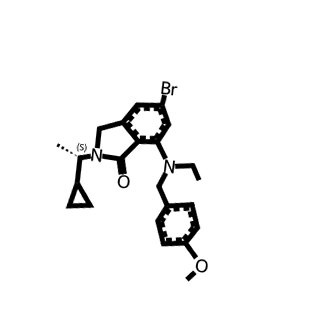 CCN(Cc1ccc(OC)cc1)c1cc(Br)cc2c1C(=O)N([C@@H](C)C1CC1)C2